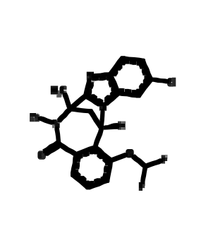 CCN1C(=O)c2cccc(OC(F)F)c2[C@@H]2CC1(C)c1nc3ccc(Cl)cc3n12